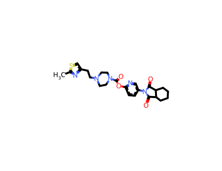 Cc1nc(CCN2CCN(C(=O)Oc3ccc(N4C(=O)C5CCCCC5C4=O)cn3)CC2)cs1